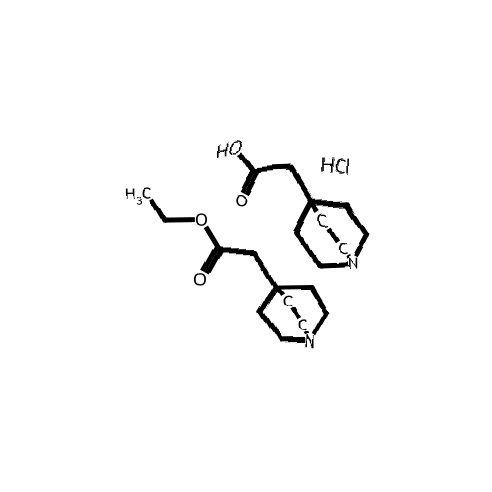 CCOC(=O)CC12CCN(CC1)CC2.Cl.O=C(O)CC12CCN(CC1)CC2